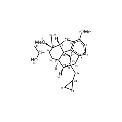 COc1ccc2c3c1O[C@H]1[C@](C)(OC)[C@@H](C(C)O)C[C@]4(C)[C@@H](C2)N(CC2CC2)CC[C@]314